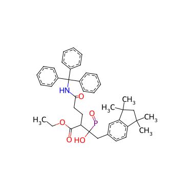 CCOC(=O)C(CCC(=O)NC(c1ccccc1)(c1ccccc1)c1ccccc1)C(O)(Cc1ccc2c(c1)C(C)(C)CC2(C)C)P=O